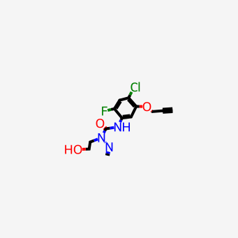 C#CCOc1cc(NC(=O)N(CCO)N=C)c(F)cc1Cl